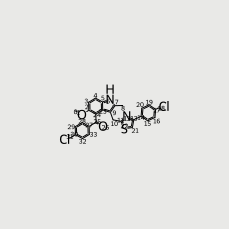 COc1ccc2[nH]c(C)c(Cc3nc(-c4ccc(Cl)cc4)cs3)c2c1C(=O)c1ccc(Cl)cc1